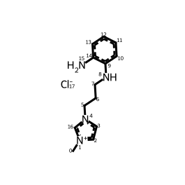 C[n+]1ccn(CCCNc2ccccc2N)c1.[Cl-]